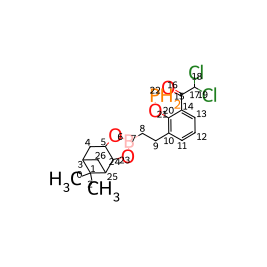 CC1(C)C2CC3OB(CCc4cccc(C(=O)C(Cl)Cl)c4OP)OC3C1C2